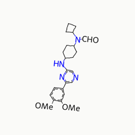 COc1ccc(-c2cncc(NC3CCC(N(C=O)C4CCC4)CC3)n2)cc1OC